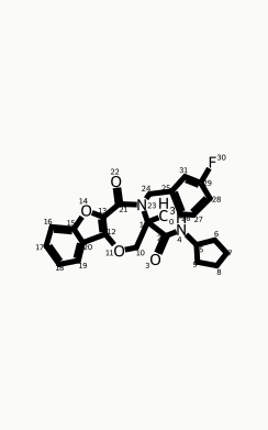 CC1(C(=O)NC2CCCC2)COc2c(oc3ccccc23)C(=O)N1Cc1cccc(F)c1